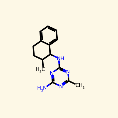 Cc1nc(N)nc(NC2c3ccccc3CCC2C)n1